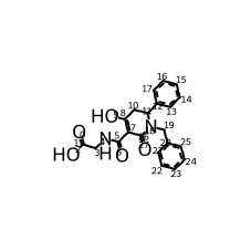 O=C(O)CNC(=O)C1=C(O)CC(c2ccccc2)N(Cc2ccccc2)C1=O